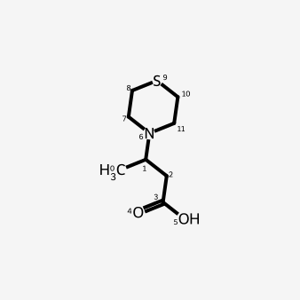 CC(CC(=O)O)N1CCSCC1